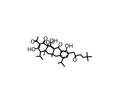 CC(=O)C1=C(O)C(C(C)C)[C@@]2(C)C[C@@]3(C)Cc4c(C(C)C)cc(CC(=O)CCC(C)(C)C)c(O)c4C(=O)C3=C(O)[C@@]2(O)C1=O